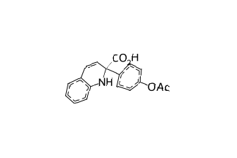 CC(=O)Oc1ccc(C2(C(=O)O)C=Cc3ccccc3N2)cc1